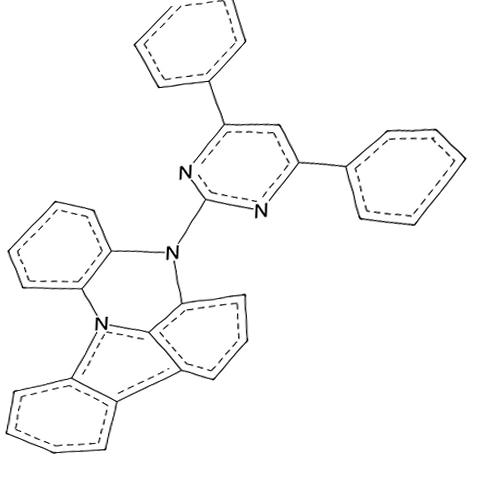 c1ccc(-c2cc(-c3ccccc3)nc(N3c4ccccc4-n4c5ccccc5c5cccc3c54)n2)cc1